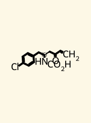 C=CC(=O)C[C@H](Cc1ccc(Cl)cc1)NC(=O)O